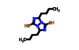 CCCCC1N=C(S)N2C(CCCC)N=C(S)N12